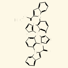 COC(=O)c1cc2ccccc2n1-c1ccc(F)[c]([Ti]([C]2=CC=CC2)([C]2=CC=CC2)[c]2c(F)ccc(-n3c(C(=O)OC)cc4ccccc43)c2F)c1F